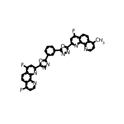 Cc1ccnc2c1ccc1c(F)cc(-c3nnc(-c4cccc(-c5nnc(-c6cc(F)c7ccc8c(F)ccnc8c7n6)o5)c4)o3)nc12